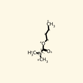 CCCCOC(=O)[N+](C)C